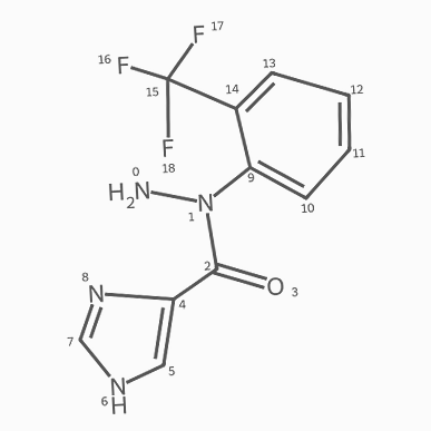 NN(C(=O)c1c[nH]cn1)c1ccccc1C(F)(F)F